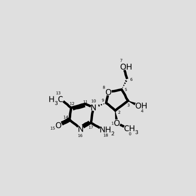 CO[C@@H]1[C@H](O)[C@@H](CO)O[C@H]1n1cc(C)c(=O)nc1N